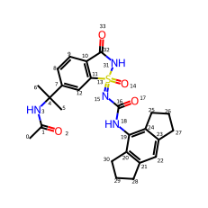 CC(=O)NC(C)(C)c1ccc2c(c1)S(=O)(=NC(=O)Nc1c3c(cc4c1CCC4)CCC3)NC2=O